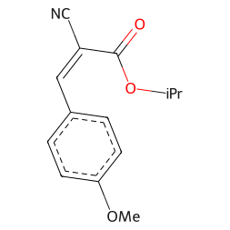 COc1ccc(C=C(C#N)C(=O)OC(C)C)cc1